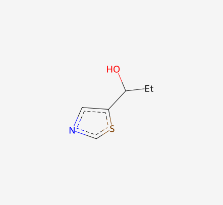 CCC(O)c1cncs1